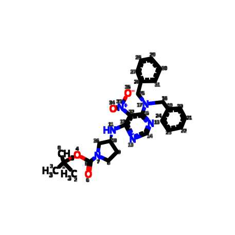 CC(C)(C)OC(=O)N1CC[C@@H](Nc2ncnc(N(Cc3ccccc3)Cc3ccccc3)c2[N+](=O)[O-])C1